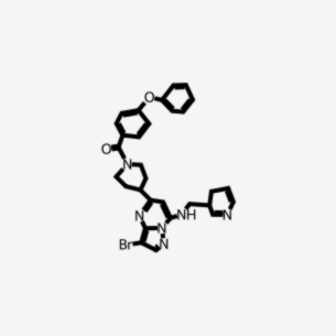 O=C(c1ccc(Oc2ccccc2)cc1)N1CCC(c2cc(NCC3C=NC=CC3)n3ncc(Br)c3n2)CC1